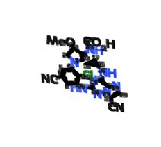 CO[C@H]1CN(c2cc(C#N)cc(Nc3nc(NC4CC4)c4ncc(C#N)n4n3)c2Cl)C[C@@H]1NC(=O)O